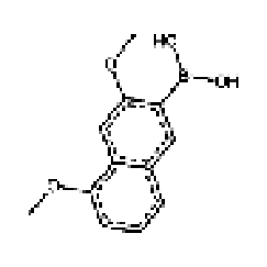 COc1cc2c(OC)cccc2cc1B(O)O